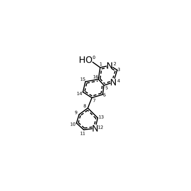 Oc1ncnc2cc(-c3cccnc3)ccc12